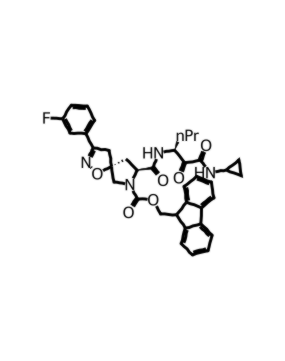 CCC[C@H](NC(=O)[C@@H]1C[C@]2(CC(c3cccc(F)c3)=NO2)CN1C(=O)OCC1c2ccccc2-c2ccccc21)C(=O)C(=O)NC1CC1